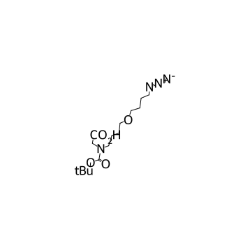 CC(C)(C)OC(=O)N(CCCCOCCCCN=[N+]=[N-])CC(=O)O